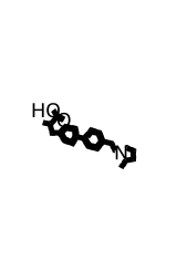 CC(Cc1ccc(-c2ccc(CCN3CCCC3C)cc2)cc1)C(=O)O